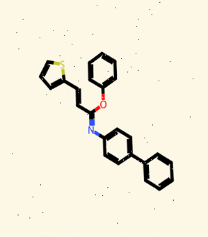 C(=Cc1cccs1)C(=Nc1ccc(-c2ccccc2)cc1)Oc1ccccc1